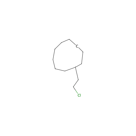 ClCC[C]1CCCCCCCCC1